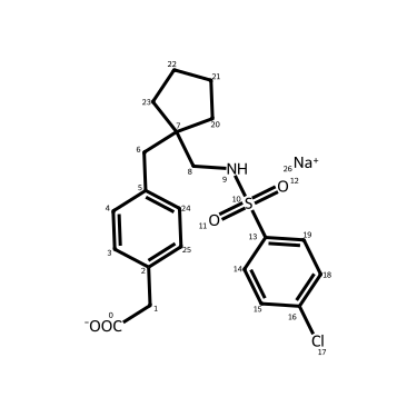 O=C([O-])Cc1ccc(CC2(CNS(=O)(=O)c3ccc(Cl)cc3)CCCC2)cc1.[Na+]